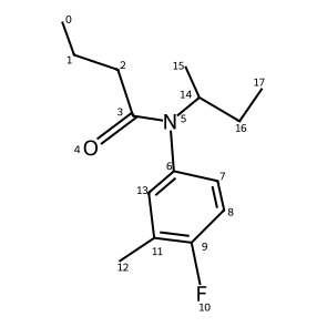 CCCC(=O)N(c1ccc(F)c(C)c1)C(C)CC